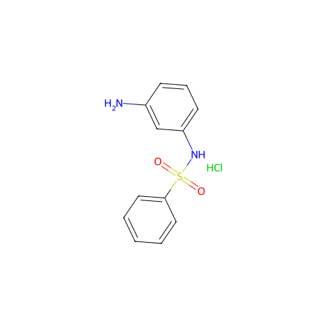 Cl.Nc1cccc(NS(=O)(=O)c2ccccc2)c1